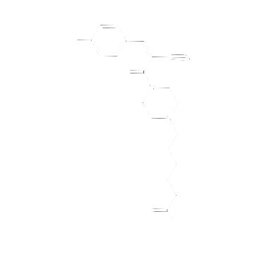 N#CC(=Cc1ccc(O)cc1)C(=O)N1CCN(CCCCCC(=O)O)CC1